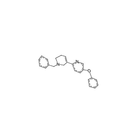 C1=C(c2ccc(Oc3ccccc3)cn2)CN(Cc2ccccc2)CC1